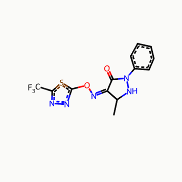 CC1NN(c2ccccc2)C(=O)C1=NOc1nnc(C(F)(F)F)s1